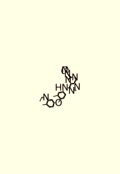 C/C=N\c1cc(Oc2ccc(Nc3ncnc4cnc(N5CC6CC(C5)N6C)nc34)cc2C)ccc1C